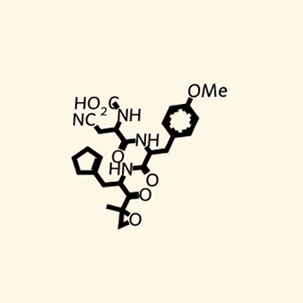 COc1ccc(CC(NC(=O)C(CC#N)NC(=O)O)C(=O)NC(CC2=CCCC2)C(=O)C2(C)CO2)cc1